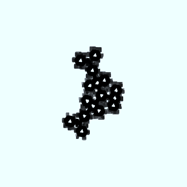 c1ccc(N(c2ccccc2)c2ccc(-c3c4ccccc4c(-c4cc(-c5c6ccccc6cc6ccccc56)cc(-c5c6ccccc6c(-c6ccc(N(c7ccccc7)c7ccccc7)cc6)c6ccccc56)c4)c4ccccc34)cc2)cc1